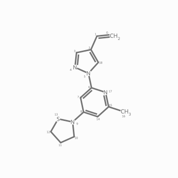 C=Cc1cnn(-c2cc(N3CCCS3)cc(C)n2)c1